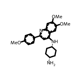 COc1ccc(-c2cc(N[C@H]3CC[C@@H](N)CC3)c3cc(OC)c(OC)cc3n2)cc1